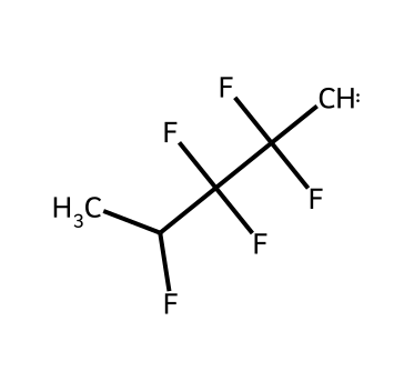 [CH]C(F)(F)C(F)(F)C(C)F